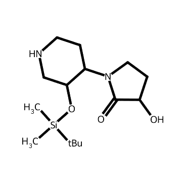 CC(C)(C)[Si](C)(C)OC1CNCCC1N1CCC(O)C1=O